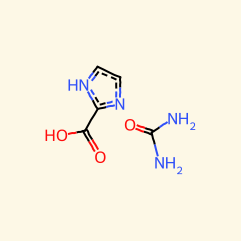 NC(N)=O.O=C(O)c1ncc[nH]1